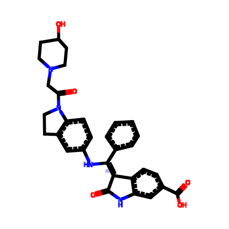 O=C1Nc2cc(C(=O)O)ccc2/C1=C(/Nc1ccc2c(c1)CCN2C(=O)CN1CCC(O)CC1)c1ccccc1